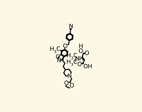 CNC.Cc1c(OCc2ccc(C#N)cc2)ccc2c(CCC3CCN(CC4OCCO4)CC3)noc12.O=C(O)C=CC(=O)O